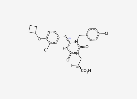 O=C(O)[C@@H](I)Cn1c(=O)[nH]/c(=N\c2cnc(OC3CCC3)c(Cl)c2)n(Cc2ccc(Cl)cc2)c1=O